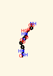 CNS(=O)(=O)c1cccc(OCC(O)CNC2COC3(CCN(S(=O)(=O)c4cccc(-c5ccc(CNCCNC(C)=O)cc5)c4)CC3)C2)c1